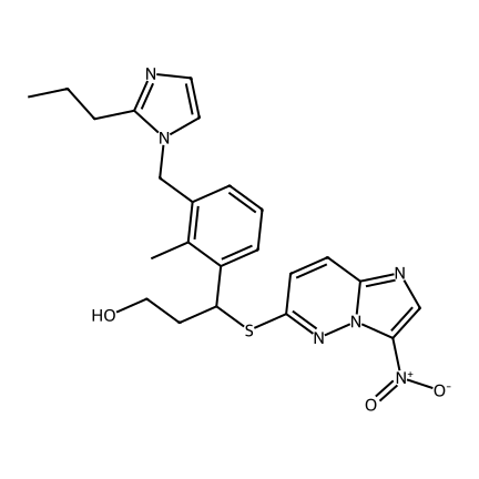 CCCc1nccn1Cc1cccc(C(CCO)Sc2ccc3ncc([N+](=O)[O-])n3n2)c1C